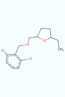 CCC1CCC(COCc2c(Cl)cccc2Cl)O1